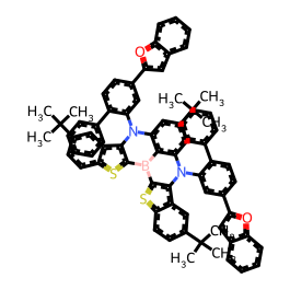 CC(C)(C)c1cc2c3c(c1)N(c1cc(-c4cc5ccccc5o4)ccc1-c1ccccc1)c1c(sc4ccc(C(C)(C)C)cc14)B3c1sc3ccc(C(C)(C)C)cc3c1N2c1cc(-c2cc3ccccc3o2)ccc1-c1ccccc1